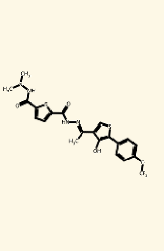 C/C(=N\NC(=O)c1ccc(C(=O)NN(C)C)s1)c1csc(-c2ccc(OC(F)(F)F)cc2)c1O